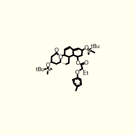 CC[C@H](Oc1ccc(C)cc1)C(=O)OC1CC(O[Si](C)(C)C(C)(C)C)C=C2C=CC(C)C(CC[C@@H]3C[C@@H](O[Si](C)(C)C(C)(C)C)CC(=O)O3)C21